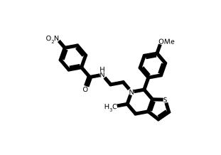 COc1ccc(C2c3sccc3CC(C)N2CCNC(=O)c2ccc([N+](=O)[O-])cc2)cc1